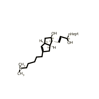 CCCCCCC[C@@H](O)/C=C/[C@@H]1[C@H]2CC(CCCCCN(C)C)=C[C@H]2C[C@H]1O